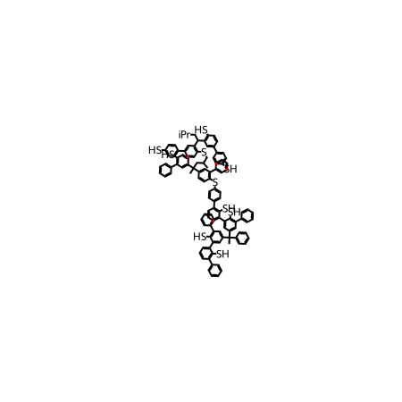 CC(C)CC(c1cc(-c2ccc(S)cc2)ccc1S)c1cc(-c2ccc(S)cc2)ccc1SCC(C)CC(C)(c1ccc(S)c(-c2ccccc2)c1)c1ccc(Sc2ccc(-c3cccc(-c4cc(C(C)(c5ccccc5)c5cc(-c6ccccc6)c(S)c(-c6cccc(-c7ccccc7)c6S)c5)cc(-c5ccccc5)c4S)c3S)cc2)c(-c2ccccc2)c1